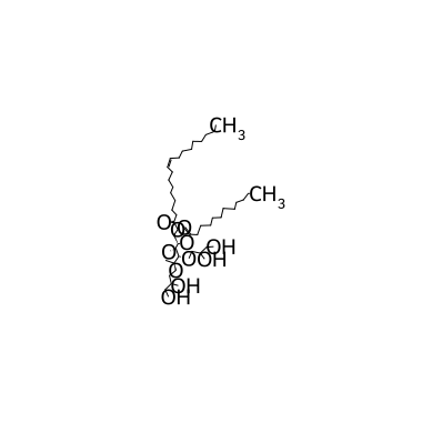 CCCCCCCC/C=C\CCCCCCCC(=O)OC[C@@H](OC(=O)CCCCCCCCCCC)[C@H]1OC[C@H](OCC(O)CO)[C@H]1OCC(O)CO